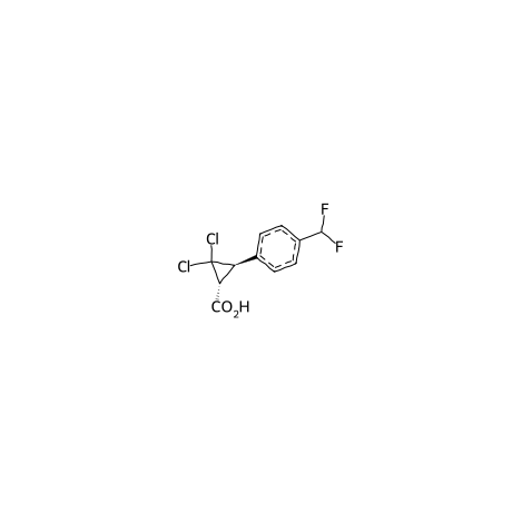 O=C(O)[C@H]1[C@H](c2ccc(C(F)F)cc2)C1(Cl)Cl